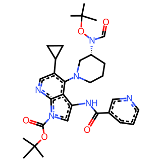 CC(C)(C)OC(=O)n1cc(NC(=O)c2cccnc2)c2c(N3CCC[C@@H](N(C=O)OC(C)(C)C)C3)c(C3CC3)cnc21